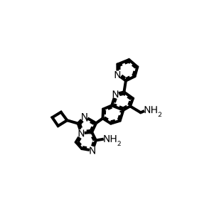 NCc1cc(-c2ccccn2)nc2cc(-c3nc(C4CCC4)n4ccnc(N)c34)ccc12